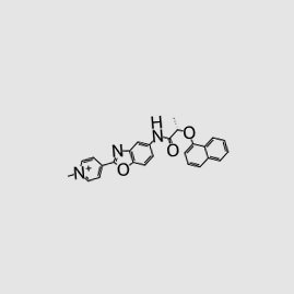 C[C@H](Oc1cccc2ccccc12)C(=O)Nc1ccc2oc(-c3cc[n+](C)cc3)nc2c1